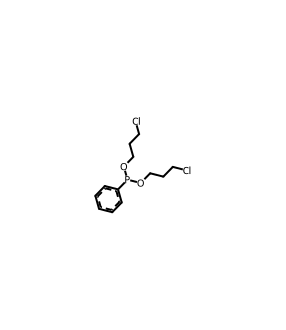 ClCCCOP(OCCCCl)c1ccccc1